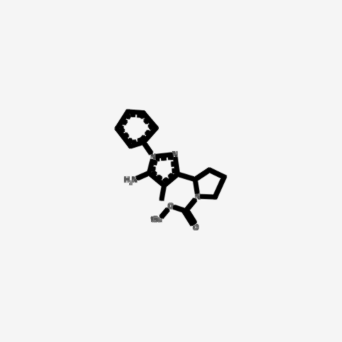 Cc1c(C2CCCN2C(=O)OC(C)(C)C)nn(-c2ccccc2)c1N